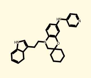 C1=CCC2C(CCN3CC4(CCCCC4)Oc4cc(Nc5ccncc5)ccc43)=CNC2=C1